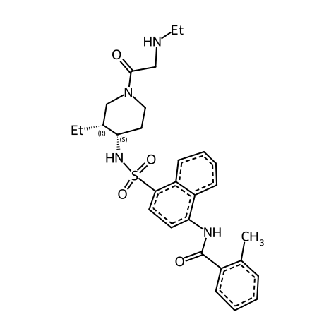 CCNCC(=O)N1CC[C@H](NS(=O)(=O)c2ccc(NC(=O)c3ccccc3C)c3ccccc23)[C@H](CC)C1